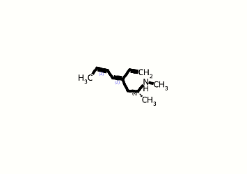 C=C/C(=C\C=C/C)C[C@@H](C)NC